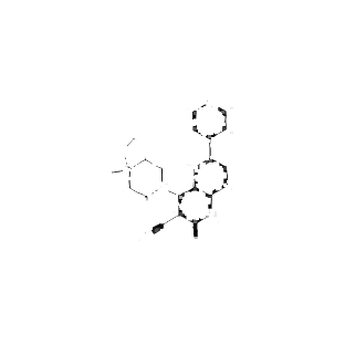 COC1(C)CCN(c2c(C#N)c(=O)[nH]c3ccc(-c4ccncc4)cc23)CC1